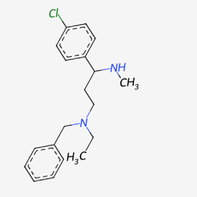 CCN(CCC(NC)c1ccc(Cl)cc1)Cc1ccccc1